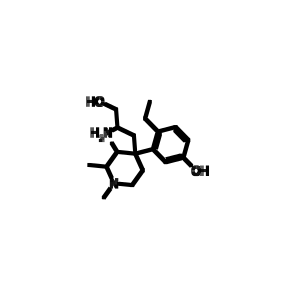 CCc1ccc(O)cc1C1(CC(N)CO)CCN(C)C(C)C1C